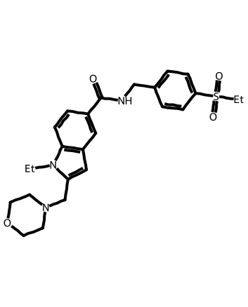 CCn1c(CN2CCOCC2)cc2cc(C(=O)NCc3ccc(S(=O)(=O)CC)cc3)ccc21